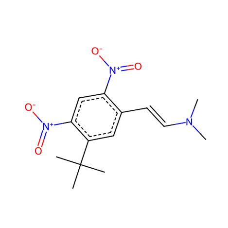 CN(C)C=Cc1cc(C(C)(C)C)c([N+](=O)[O-])cc1[N+](=O)[O-]